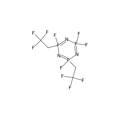 FC(F)(F)CP1(F)=NP(F)(F)=NP(F)(CC(F)(F)F)=N1